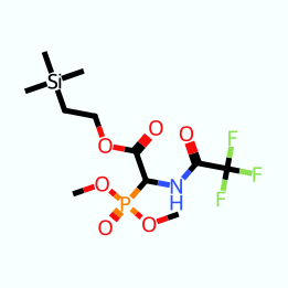 COP(=O)(OC)C(NC(=O)C(F)(F)F)C(=O)OCC[Si](C)(C)C